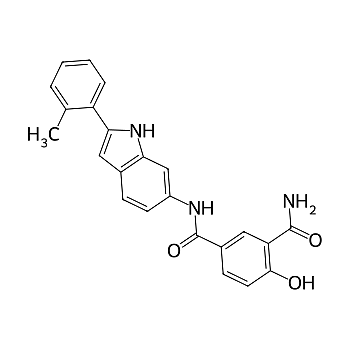 Cc1ccccc1-c1cc2ccc(NC(=O)c3ccc(O)c(C(N)=O)c3)cc2[nH]1